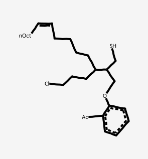 CCCCCCCC/C=C\CCCCC(CCCCl)C(CS)COc1ccccc1C(C)=O